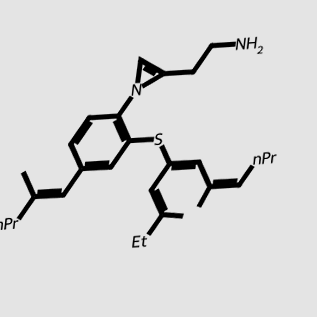 CCC\C=C(C)/C=C(\C=C(/C)CC)Sc1cc(C=C(C)CCC)ccc1N1C=C1CCN